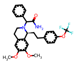 COc1cc2c(cc1OC)[C@H](CCc1ccc(OC(F)(F)F)cc1)N(C(C(N)=O)c1ccccc1)CC2